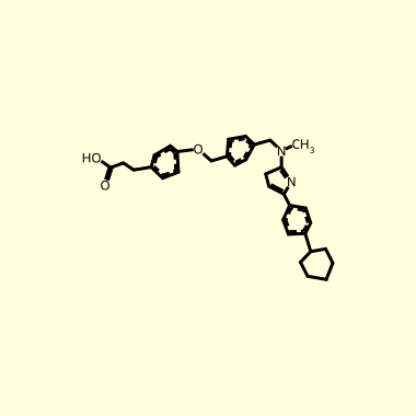 CN(Cc1ccc(COc2ccc(CCC(=O)O)cc2)cc1)C1=NC(c2ccc(C3CCCCC3)cc2)=CC1